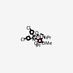 CCCN1CCN(C(=O)N2C(c3ccc(OC)cc3OC(C)C)=N[C@@H](c3ccc(Cl)cc3)[C@H]2c2ccc(Cl)cc2)CC1